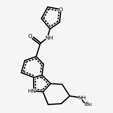 CCC(C)NC1CCc2[nH]c3ccc(C(=O)Nc4ccoc4)cc3c2C1